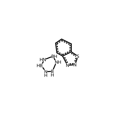 B1NBNBN1.c1ccc2snnc2c1